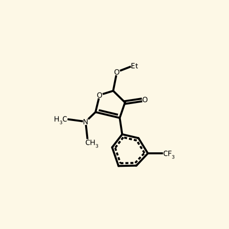 CCOC1OC(N(C)C)=C(c2cccc(C(F)(F)F)c2)C1=O